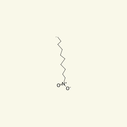 [CH2]CCCCCCCCC[N+](=O)[O-]